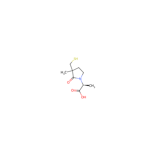 C[C@@H](C(=O)O)N1CCC(C)(CS)C1=O